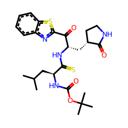 CC(C)C[C@H](NC(=O)OC(C)(C)C)C(=S)N[C@@H](C[C@@H]1CCNC1=O)C(=O)c1nc2ccccc2s1